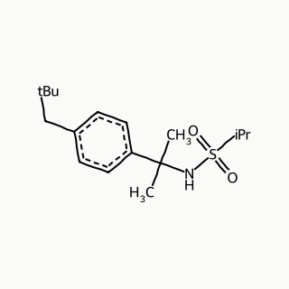 CC(C)S(=O)(=O)NC(C)(C)c1ccc(CC(C)(C)C)cc1